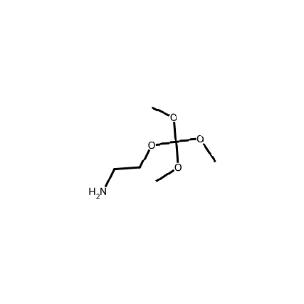 COC(OC)(OC)OCCN